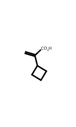 C=C(C(=O)O)C1CCC1